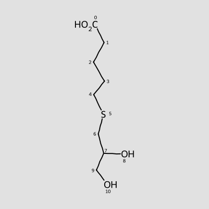 O=C(O)CCCCSCC(O)CO